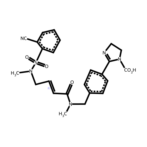 CN(Cc1ccc(C2=NCCN2C(=O)O)cc1)C(=O)/C=C/CN(C)S(=O)(=O)c1ccccc1C#N